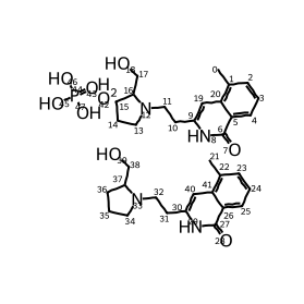 Cc1cccc2c(=O)[nH]c(CCN3CCCC3CO)cc12.Cc1cccc2c(=O)[nH]c(CCN3CCCC3CO)cc12.O.O=P(O)(O)O